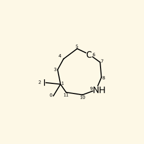 CC1(I)CCCCCCNCC1